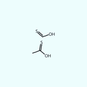 CC(O)=S.OC=S